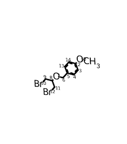 COc1ccc(COC(CBr)CBr)cc1